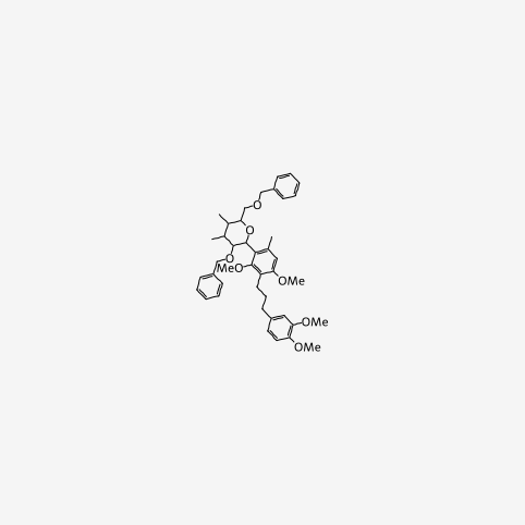 COc1ccc(CCCc2c(OC)cc(C)c(C3OC(COCc4ccccc4)C(C)C(C)C3OCc3ccccc3)c2OC)cc1OC